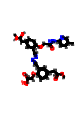 COC(=O)Cc1ccc(OCC(=O)Nc2ccc(C)cn2)c(C#N)c1.COC(=O)Cc1ccc(OCC(=O)O)c(C#N)c1